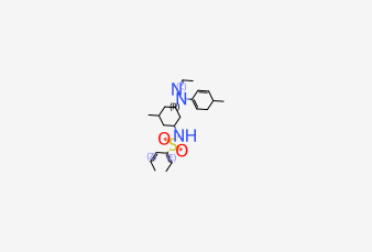 C/C=C\C(=C/C)S(=O)(=O)NC1CC(C)C[C@@H](N(/N=C\C)C2=CCC(C)C=C2)C1